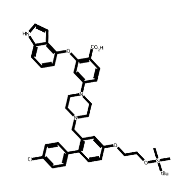 CC(C)(C)[Si](C)(C)OCCOc1ccc(-c2ccc(Cl)cc2)c(CN2CCN(c3ccc(C(=O)O)c(Oc4cccc5[nH]ccc45)c3)CC2)c1